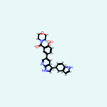 O=C(c1cc(-c2cnc3[nH]cc(C4C=Cc5[nH]ccc5C4)c3c2)ccc1O)N1CCOCC1